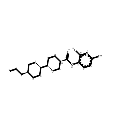 CCC[C@H]1CC[C@H]([C@H]2CC[C@H](C(=O)Oc3ccc(F)nc3F)CC2)CC1